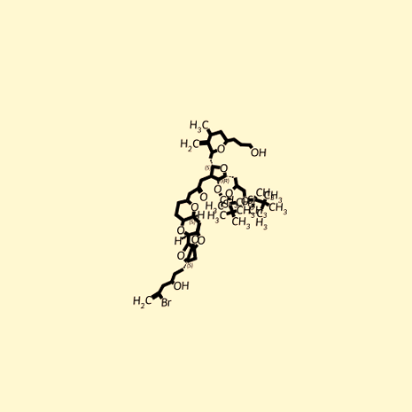 C=C(Br)CC(O)CC[C@@]12CC3OC4C(O1)[C@H]1OC(CC(=O)CC5[C@H](CC6OC(CCCO)CC(C)C6=C)O[C@H](CC(CO[Si](C)(C)C(C)(C)C)O[Si](C)(C)C(C)(C)C)[C@@H]5OC)CCC1O[C@H]4C3O2